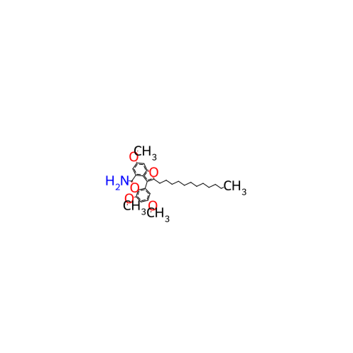 CCCCCCCCCCCCc1oc2cc(OC)cc(C(N)=O)c2c1-c1cc(OC)cc(OC)c1